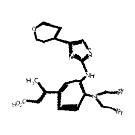 CC(C)CN(CC(C)C)c1ccc(C(C)CC(=O)O)cc1Nc1nc(C2CCOCC2)cs1